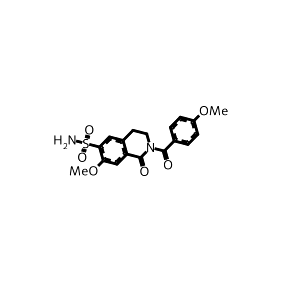 COc1ccc(C(=O)N2CCc3cc(S(N)(=O)=O)c(OC)cc3C2=O)cc1